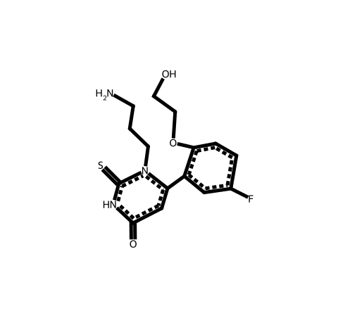 NCCCn1c(-c2cc(F)ccc2OCCO)cc(=O)[nH]c1=S